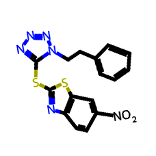 O=[N+]([O-])c1ccc2nc(Sc3nnnn3CCc3ccccc3)sc2c1